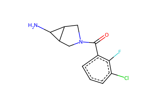 NC1C2CN(C(=O)c3cccc(Cl)c3F)CC12